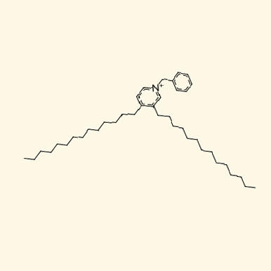 CCCCCCCCCCCCCCc1cc[n+](Cc2ccccc2)cc1CCCCCCCCCCCCCC